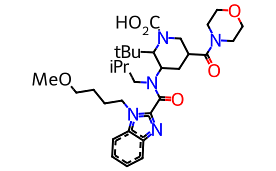 COCCCCn1c(C(=O)N(CC(C)C)C2CC(C(=O)N3CCOCC3)CN(C(=O)O)C2C(C)(C)C)nc2ccccc21